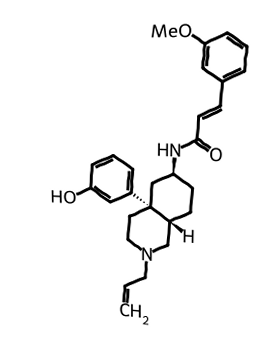 C=CCN1CC[C@@]2(c3cccc(O)c3)C[C@@H](NC(=O)C=Cc3cccc(OC)c3)CC[C@@H]2C1